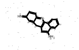 N=C1C=CC2=Nc3c(cc(N)c4ccccc34)CC2=C1